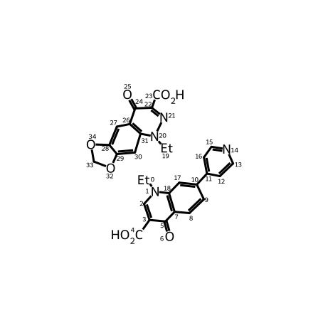 CCn1cc(C(=O)O)c(=O)c2ccc(-c3ccncc3)cc21.CCn1nc(C(=O)O)c(=O)c2cc3c(cc21)OCO3